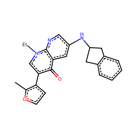 CCn1cc(-c2ccoc2C)c(=O)c2cc(NC3Cc4ccccc4C3)cnc21